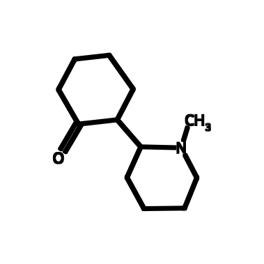 CN1CCCCC1C1CCCCC1=O